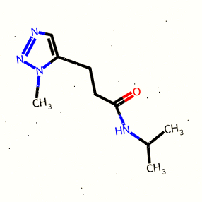 CC(C)NC(=O)CCc1cnnn1C